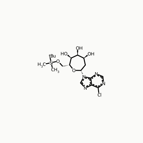 CC(C)(C)[Si](C)(C)OC[C@H]1O[C@@H](n2cnc3c(Cl)ncnc32)C[C@H](O)[C@H](O)[C@@H]1O